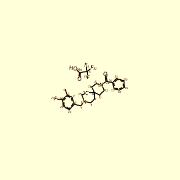 Cc1cc(CN2CCC3(CC2)CCN(C(=O)c2ccccc2)CC3)ccc1F.O=C(O)C(F)(F)F